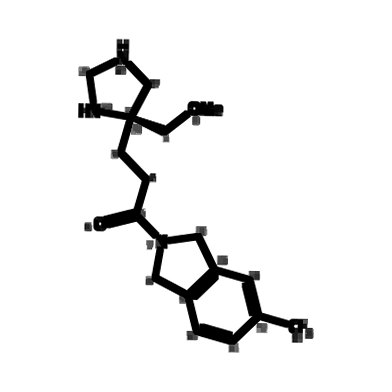 COC[C@]1(CCC(=O)N2Cc3ccc(C(F)(F)F)cc3C2)CNCN1